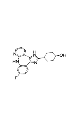 O[C@H]1CC[C@@H](c2nc3c([nH]2)-c2cccnc2Nc2cc(F)ccc2-3)CC1